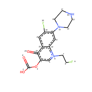 O=C(O)Oc1cn(CCF)c2cc(N3CCNCC3)c(F)cc2c1=O